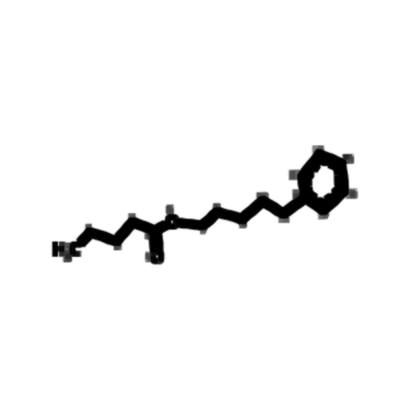 CCCCC(=O)OCCCCCc1ccccc1